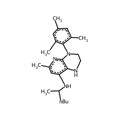 CCCCC(C)Nc1cc(C)nc2c1NCCN2c1c(C)cc(C)cc1C